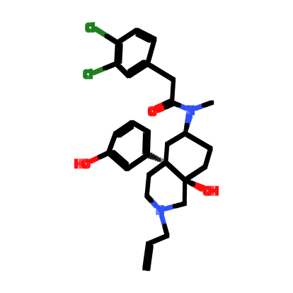 C=CCN1CC[C@@]2(c3cccc(O)c3)C[C@@H](N(C)C(=O)Cc3ccc(Cl)c(Cl)c3)CC[C@]2(O)C1